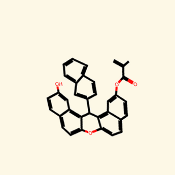 C=C(C)C(=O)Oc1ccc2ccc3c(c2c1)C(c1ccc2ccccc2c1)c1c(ccc2ccc(O)cc12)O3